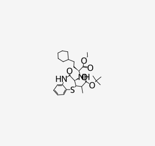 CCOC(=O)[C@H](CCC1CCCCC1)N[C@@H]1C(=O)Nc2ccccc2SC1C(C)C(=O)OC(C)(C)C